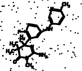 Cc1ccc(Nc2ccc(F)c(C3(C)N=C(N)N(C)C(=O)C3(C)C)c2)cn1